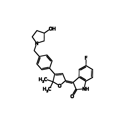 CC1(C)OC(=C2C(=O)Nc3ccc(F)cc32)C=C1c1ccc(CN2CCC(O)C2)cc1